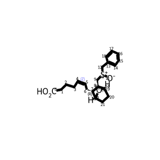 O=C(O)CCC/C=C\C[C@@H]1[C@@H](C[S+]([O-])Cc2ccccc2)[C@@H]2CC[C@H]1O2